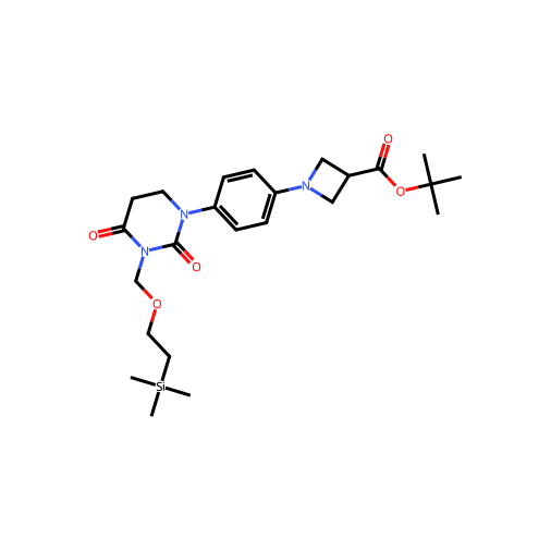 CC(C)(C)OC(=O)C1CN(c2ccc(N3CCC(=O)N(COCC[Si](C)(C)C)C3=O)cc2)C1